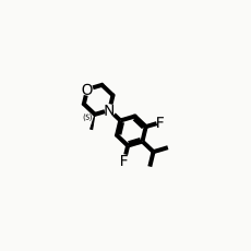 CC(C)c1c(F)cc(N2CCOC[C@@H]2C)cc1F